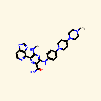 CC(C)Nc1nc(Nc2ccc(N3CCC(N4CCN(C)CC4)CC3)cc2)c(C(N)=O)nc1-c1nccc2[nH]cnc12